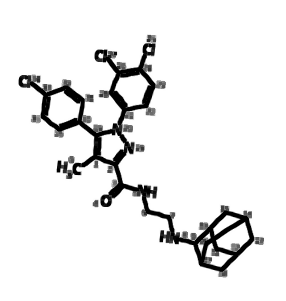 Cc1c(C(=O)NCCNC2C3CC4CC(C3)CC2C4)nn(-c2ccc(Cl)c(Cl)c2)c1-c1ccc(Cl)cc1